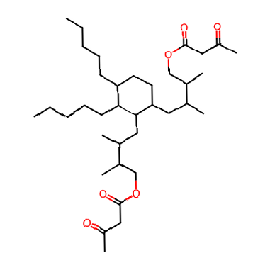 CCCCCC1CCC(CC(C)C(C)COC(=O)CC(C)=O)C(CC(C)C(C)COC(=O)CC(C)=O)C1CCCCC